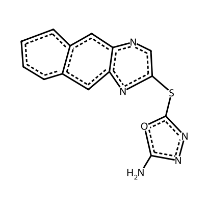 Nc1nnc(Sc2cnc3cc4ccccc4cc3n2)o1